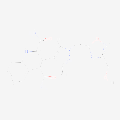 COCc1noc(Cn2nc(C)c(-c3c(C(N)=O)nc4ccccc4c3C(N)=O)c2C)n1